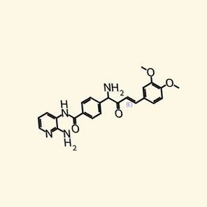 COc1ccc(/C=C/C(=O)C(N)c2ccc(C(=O)Nc3cccnc3N)cc2)cc1OC